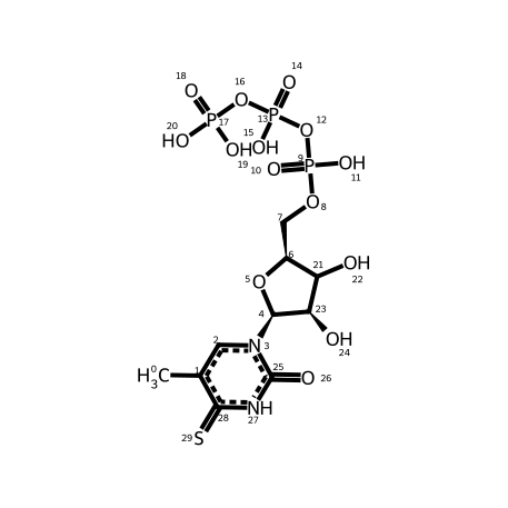 Cc1cn([C@H]2O[C@@H](COP(=O)(O)OP(=O)(O)OP(=O)(O)O)C(O)[C@H]2O)c(=O)[nH]c1=S